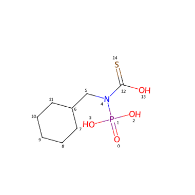 O=P(O)(O)N(CC1CCCCC1)C(O)=S